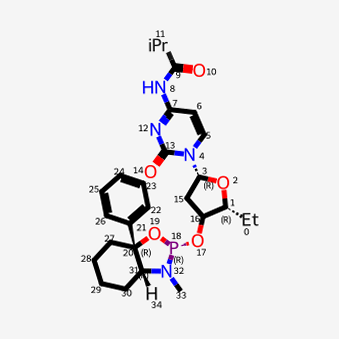 CC[C@H]1O[C@@H](n2ccc(NC(=O)C(C)C)nc2=O)CC1O[P@@]1O[C@@]2(c3ccccc3)CCCC[C@H]2N1C